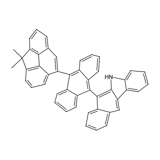 CC1(C)c2cccc3cc(-c4c5ccccc5c(-c5c6ccccc6cc6c5[nH]c5ccccc56)c5ccccc45)c4cccc1c4c23